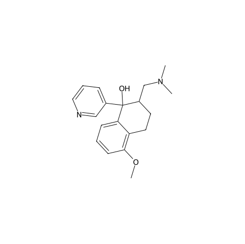 COc1cccc2c1CCC(CN(C)C)C2(O)c1cccnc1